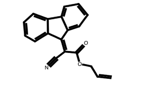 C=CCOC(=O)C(C#N)=C1c2ccccc2-c2ccccc21